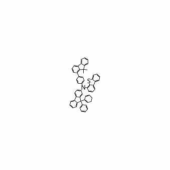 CC1(C)c2ccccc2-c2cccc(-c3ccc(N(c4ccc5c(c4)C(C4=CCCC=C4)(c4ccccc4)c4ccccc4-5)c4cccc5c4sc4ccccc45)cc3)c21